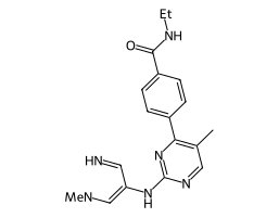 CCNC(=O)c1ccc(-c2nc(N/C(C=N)=C/NC)ncc2C)cc1